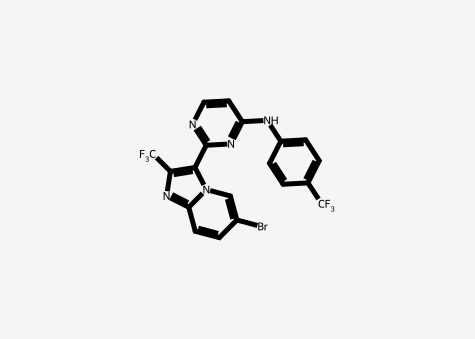 FC(F)(F)c1ccc(Nc2ccnc(-c3c(C(F)(F)F)nc4ccc(Br)cn34)n2)cc1